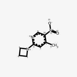 Cc1cc(N2CCC2)ncc1[N+](=O)[O-]